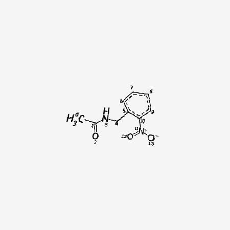 CC(=O)NCc1ccccc1[N+](=O)[O-]